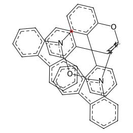 c1ccc2c(c1)Oc1ccccc1C21c2c(cccc2-n2c3ccccc3c3ccccc32)Oc2cccc(-n3c4ccccc4c4ccccc43)c21